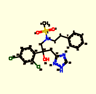 CS(=O)(=O)N(CCc1ccccc1)CC(O)(Cc1nc[nH]n1)c1ccc(Cl)cc1Cl